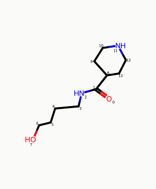 O=C(NCCCCO)C1CCNCC1